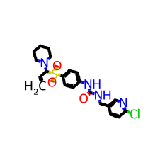 C=CC(N1CCCCC1)S(=O)(=O)c1ccc(NC(=O)NCc2ccc(Cl)nc2)cc1